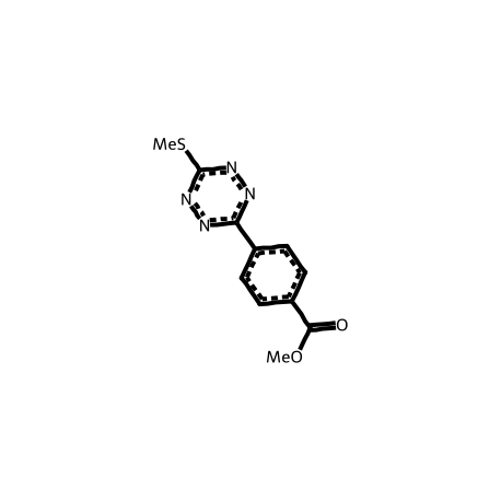 COC(=O)c1ccc(-c2nnc(SC)nn2)cc1